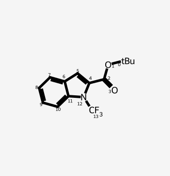 CC(C)(C)OC(=O)c1cc2ccccc2n1C(F)(F)F